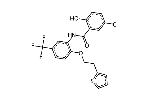 O=C(Nc1cc(C(F)(F)F)ccc1OCCc1cccs1)c1cc(Cl)ccc1O